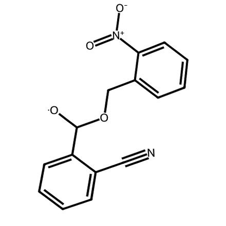 N#Cc1ccccc1C([O])OCc1ccccc1[N+](=O)[O-]